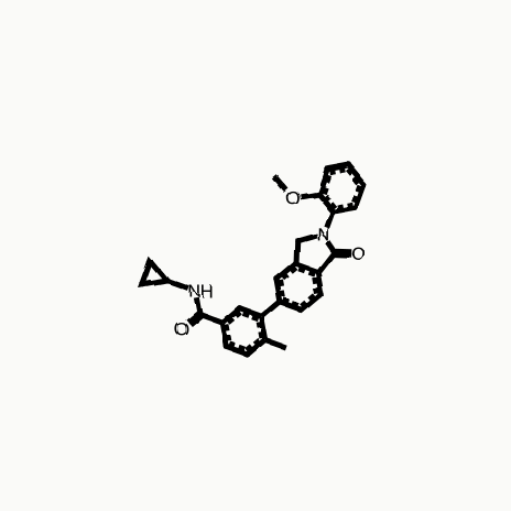 COc1ccccc1N1Cc2cc(-c3cc(C(=O)NC4CC4)ccc3C)ccc2C1=O